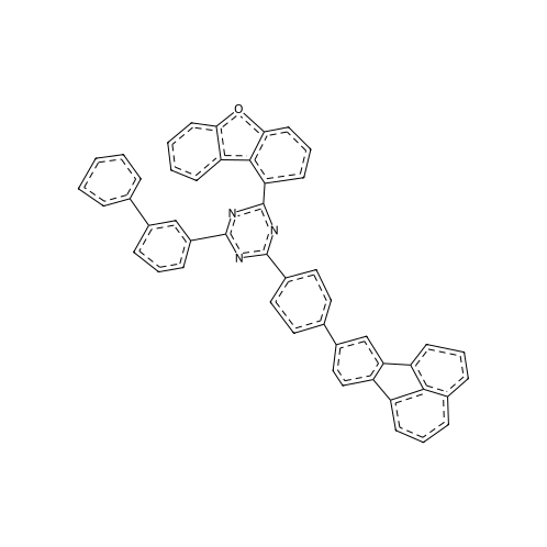 c1ccc(-c2cccc(-c3nc(-c4ccc(-c5ccc6c(c5)-c5cccc7cccc-6c57)cc4)nc(-c4cccc5oc6ccccc6c45)n3)c2)cc1